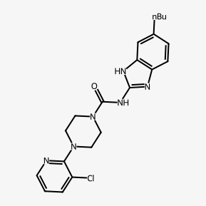 CCCCc1ccc2nc(NC(=O)N3CCN(c4ncccc4Cl)CC3)[nH]c2c1